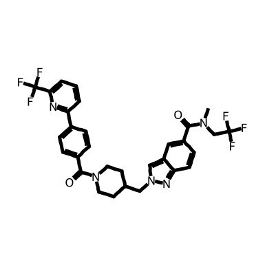 CN(CC(F)(F)F)C(=O)c1ccc2nn(CC3CCN(C(=O)c4ccc(-c5cccc(C(F)(F)F)n5)cc4)CC3)cc2c1